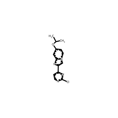 CC(C)Oc1ccn2cc(-c3ccnc(Cl)n3)nc2c1